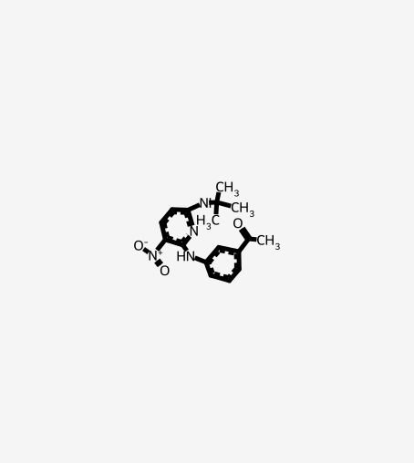 CC(=O)c1cccc(Nc2nc(NC(C)(C)C)ccc2[N+](=O)[O-])c1